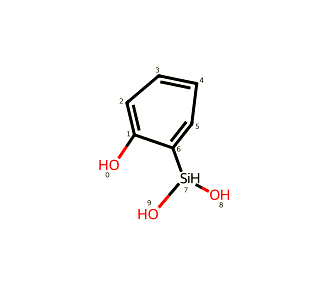 Oc1ccccc1[SiH](O)O